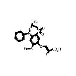 CCCCC1CN(c2ccccc2)c2cc(SCC)c(OC=C(F)C(=O)O)cc2S(=O)(=O)C1